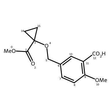 COC(=O)C1(OCc2ccc(OC)c(C(=O)O)c2)CC1